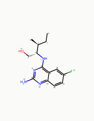 CC[C@H](C)[C@@H](CO)Nc1nc(N)nc2ccc(F)cc12